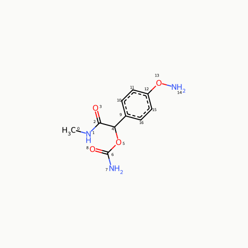 CNC(=O)C(OC(N)=O)c1ccc(ON)cc1